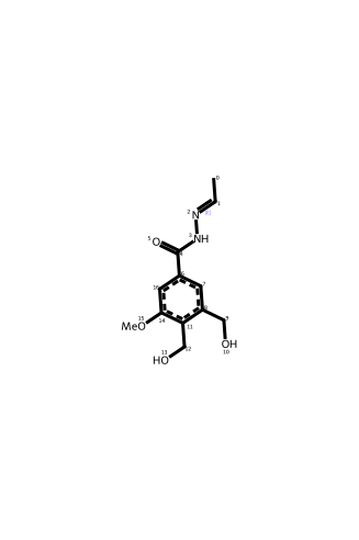 C/C=N/NC(=O)c1cc(CO)c(CO)c(OC)c1